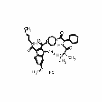 CN[C@@H](C)C(=O)N[C@H](C(=O)N1CCN(C(=O)c2c(C(=O)NCCOC)c3ccc(OC)cc3n2C)CC1)C1CCCCC1.Cl